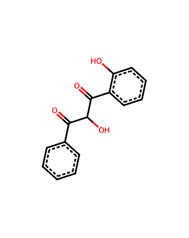 O=C(c1ccccc1)C(O)C(=O)c1ccccc1O